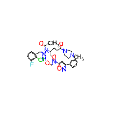 CC(=O)N(NCc1cccc(F)c1Cl)[C@@H](CCC(=O)N1CCN(C)CC1)CON(C=O)c1cc(-c2ccccc2)no1